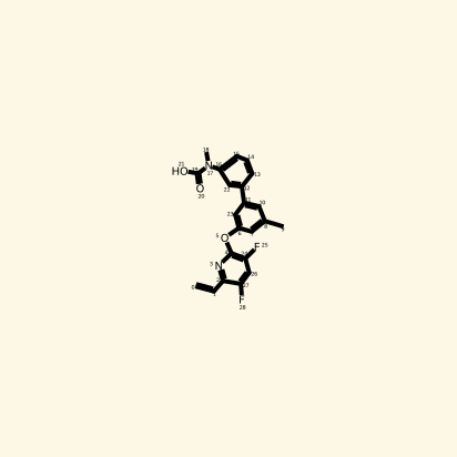 C=Cc1nc(Oc2cc(C)cc(-c3cccc(N(C)C(=O)O)c3)c2)c(F)cc1F